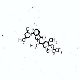 CC1=C(OCC(F)(F)F)N(C)CC(C(C)N2Cc3c(ccnc3N3C[C@H](O)CC3=O)C2=O)=C1